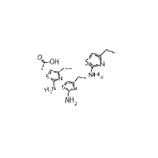 CC(=O)O.CCc1csc(N)n1.CCc1csc(N)n1.CCc1csc(N)n1